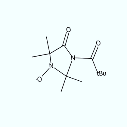 CC(C)(C)C(=O)N1C(=O)C(C)(C)N([O])C1(C)C